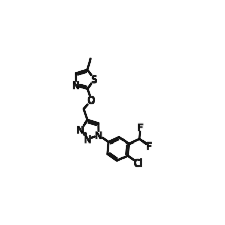 Cc1cnc(OCc2cn(-c3ccc(Cl)c(C(F)F)c3)nn2)s1